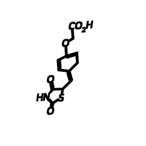 O=C(O)COC1=CCC(=CC2SC(=O)NC2=O)C=C1